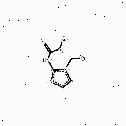 CCCSC(=S)Nc1nccn1CC(C)C